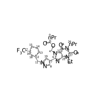 CCCC(=O)OCn1c(-c2cnn(Cc3cccc(C(F)(F)F)c3)c2)nc2c1c(=O)n(CCC)c(=O)n2CC